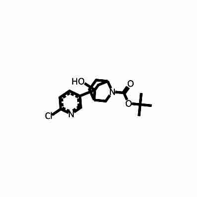 CC(C)(C)OC(=O)N1CC2CCC1CC2(O)c1ccc(Cl)nc1